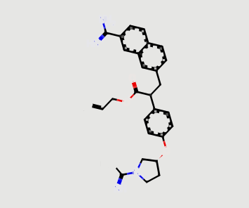 C=CCOC(=O)C(Cc1ccc2ccc(C(=N)N)cc2c1)c1ccc(O[C@H]2CCN(C(C)=N)C2)cc1